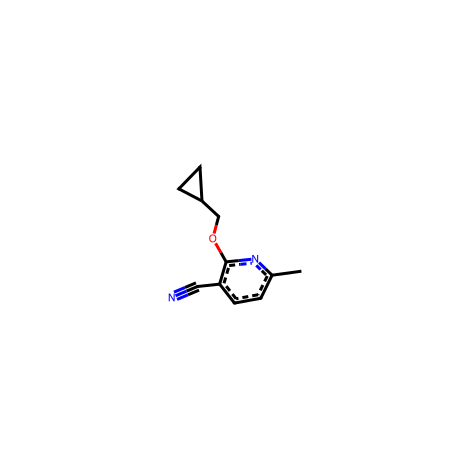 Cc1ccc(C#N)c(OCC2CC2)n1